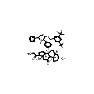 C[C@]12CC[C@@H](O)C[C@H]1CC[C@@H]1[C@@H]2C(=O)C[C@@]2(C)[C@H]1CC[C@]2(O)C(=O)CO.FC(F)(F)c1cc(COC2OCC(c3ccccc3)NC2c2ccccc2)cc(C(F)(F)F)c1